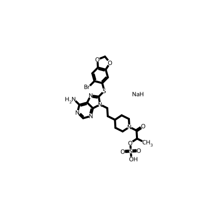 CC(OS(=O)(=O)O)C(=O)N1CCC(CCn2c(Sc3cc4c(cc3Br)OCO4)nc3c(N)ncnc32)CC1.[NaH]